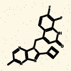 Cc1cnc2c(n1)nc(C1=CC=C1)n2Cc1cc(=O)[nH]c2c(F)c(F)ccc12